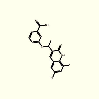 CC(Nc1cc(C(N)=O)ccn1)c1cc2cc(Cl)cc(F)c2[nH]c1=O